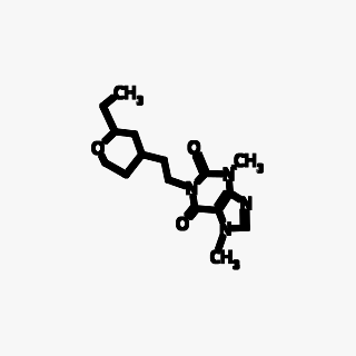 CCC1CC(CCn2c(=O)c3c(ncn3C)n(C)c2=O)CCO1